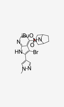 CC(C)COC(=O)N1C2CCC1CN(c1ccnc3[nH]c(-c4cnn(C)c4)c(Br)c13)C2